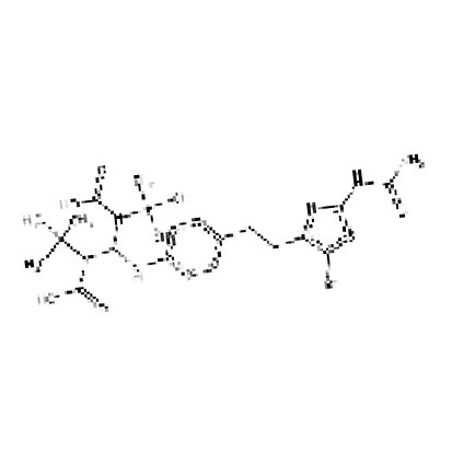 CC(=O)Nc1nc(CCc2ccc(NC(N(C(=O)O)C(C)(C)C)N(C(=O)O)C(C)(C)C)cc2)c(Br)s1